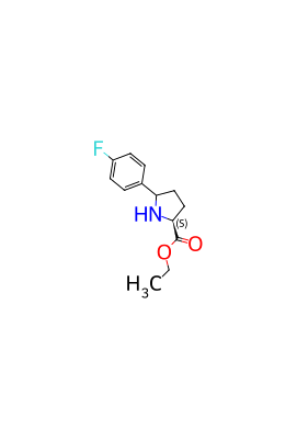 CCOC(=O)[C@@H]1CCC(c2ccc(F)cc2)N1